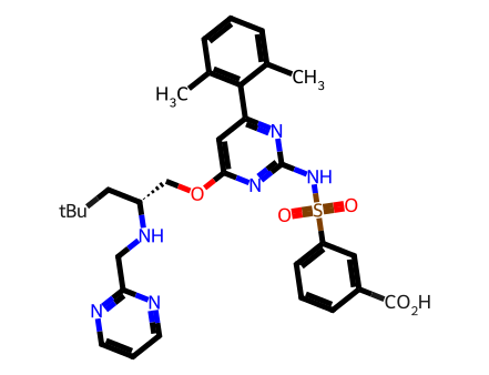 Cc1cccc(C)c1-c1cc(OC[C@@H](CC(C)(C)C)NCc2ncccn2)nc(NS(=O)(=O)c2cccc(C(=O)O)c2)n1